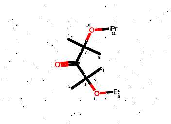 CCOC(C)(C)C(=O)C(C)(C)OC(C)C